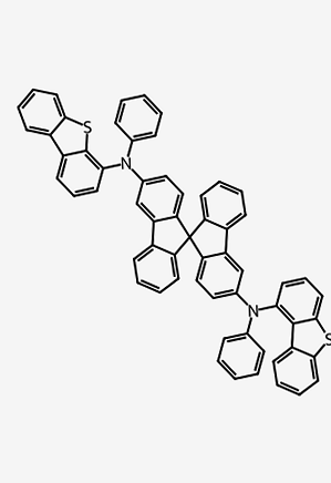 c1ccc(N(c2ccc3c(c2)-c2ccccc2C32c3ccccc3-c3cc(N(c4ccccc4)c4cccc5sc6ccccc6c45)ccc32)c2cccc3c2sc2ccccc23)cc1